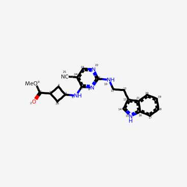 COC(=O)C1CC(Nc2nc(NCCc3c[nH]c4ccccc34)ncc2C#N)C1